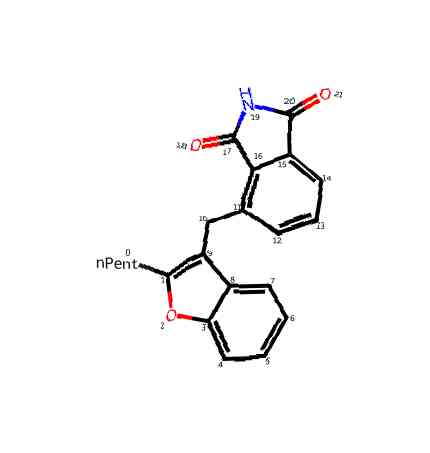 CCCCCc1oc2ccccc2c1Cc1cccc2c1C(=O)NC2=O